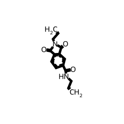 C=CCNC(=O)c1ccc2c(c1)C(=O)N(CC=C)C2=O